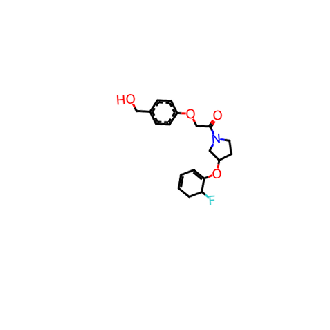 O=C(COc1ccc(CO)cc1)N1CCC(OC2=CC=CCC2F)C1